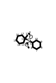 CO[Si](OC)(C1CCCCC1)C1(C)CCCCC1